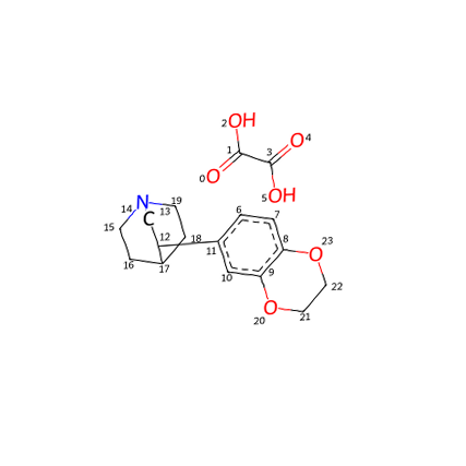 O=C(O)C(=O)O.c1cc2c(cc1C1CN3CCC1CC3)OCCO2